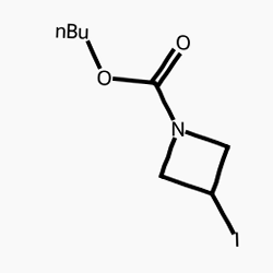 CCCCOC(=O)N1CC(I)C1